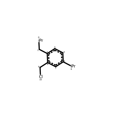 CC(C)Cc1ccc(C(C)C)cc1CCl